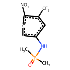 CP(C)(=O)Nc1ccc([N+](=O)[O-])c(C(F)(F)F)c1